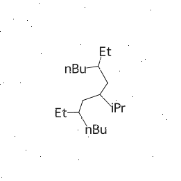 [CH2]C(C)C(CC(CC)CCCC)CC(CC)CCCC